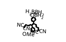 BC(B)(B)Oc1ccc(C(/C=C/C=C(C#N)C#N)=C(\C=C\C=C(C#N)C#N)c2ccc(OC)cc2)cc1